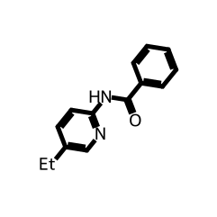 CCc1ccc(NC(=O)c2ccccc2)nc1